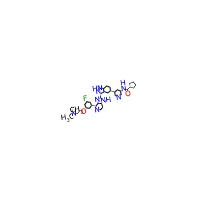 CN(C)CCOc1cc(F)cc(-c2nccc3[nH]c(-c4n[nH]c5ccc(-c6cncc(NC(=O)C7CCCC7)c6)cc45)nc23)c1